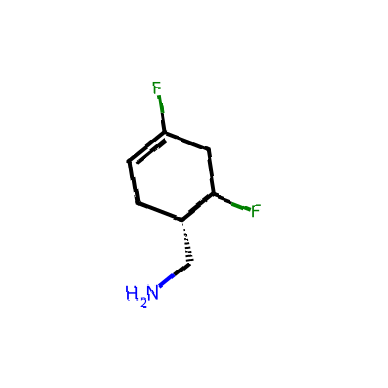 NC[C@@H]1CC=C(F)CC1F